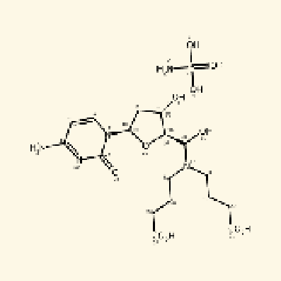 NP(=O)(O)O.Nc1ccn([C@H]2C[C@H](O)[C@@H](C(O)N(CCCC(=O)O)CCCC(=O)O)O2)c(=O)n1